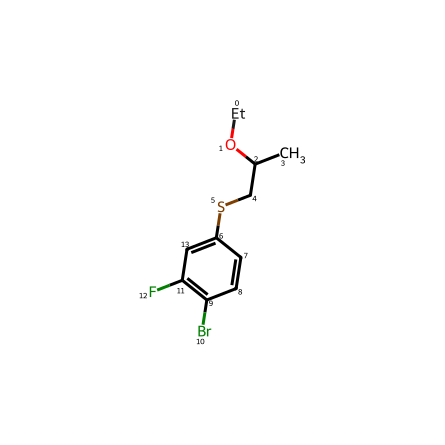 CCOC(C)CSc1ccc(Br)c(F)c1